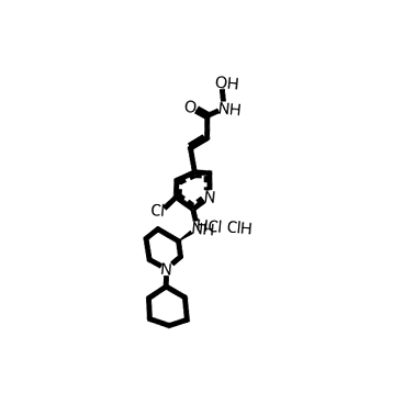 Cl.Cl.O=C(C=Cc1cnc(N[C@@H]2CCCN(C3CCCCC3)C2)c(Cl)c1)NO